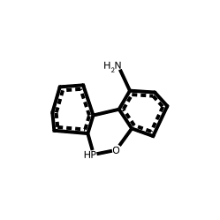 Nc1cccc2c1-c1ccccc1PO2